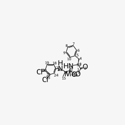 COC(=O)[C@H](Cc1ccccc1)NC(=O)C(C)Nc1ccc(Cl)c(Cl)c1